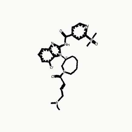 CN(C)CC=CC(=O)N1CCCC[C@H](n2c(NC(=O)c3ccnc(P(C)(C)=O)c3)nc3cccc(Cl)c32)C1